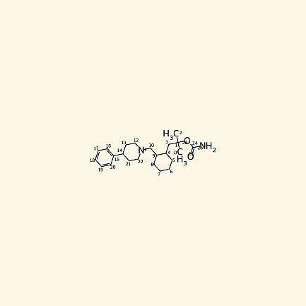 CC(C)(CC1CCCCC1CN1CCC(c2ccccc2)CC1)OC(N)=O